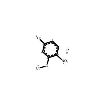 CCOc1cc([O-])ccc1[N+](=O)[O-].[K+]